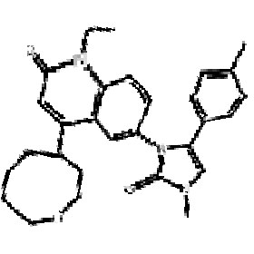 CCn1c(=O)cc(C2CCCCOCC2)c2cc(-n3c(-c4ccc(C)cc4)cn(C)c3=O)ccc21